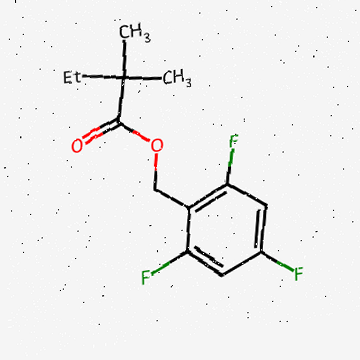 CCC(C)(C)C(=O)OCc1c(F)cc(F)cc1F